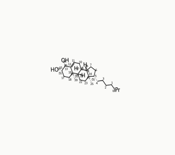 CC(C)CCCC[C@H]1CC[C@H]2[C@@H]3CC=C4[C@@H](O)[C@@H](O)CC[C@]4(C)[C@H]3CC[C@]12C